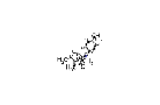 C=C1C2CC(C)C1(C)C(=O)/C2=C/c1ccc(C)cc1